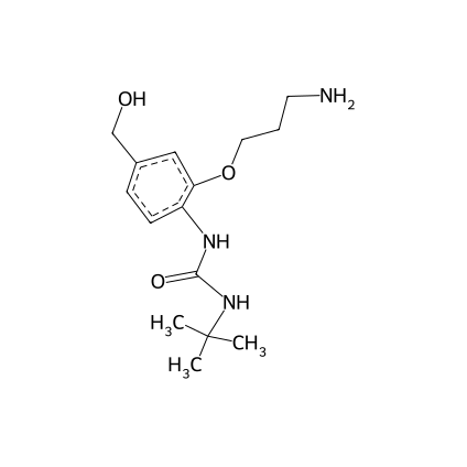 CC(C)(C)NC(=O)Nc1ccc(CO)cc1OCCCN